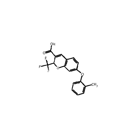 Cc1ccccc1Oc1ccc2c(c1)OC(C(F)(F)F)C(C(=O)O)=C2